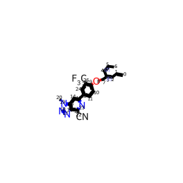 C=C/C=C(\C=C/C)COc1ccc(-c2cc3c(nnn3C)c(C#N)n2)cc1C(F)(F)F